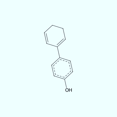 Oc1ccc(C2=CCCC=C2)cc1